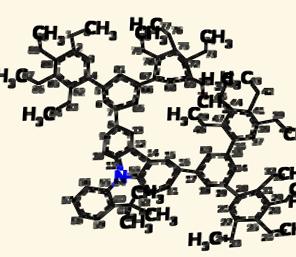 CCc1cc(-c2cc(-c3ccc4c(c3)c3cc(-c5cc(-c6cc(CC)c(CC)c(CC)c6CC)cc(-c6cc(CC)c(CC)c(CC)c6CC)c5)ccc3n4-c3ccccc3C(C)(C)C)cc(-c3cc(CC)c(CC)c(CC)c3CC)c2)c(CC)c(CC)c1CC